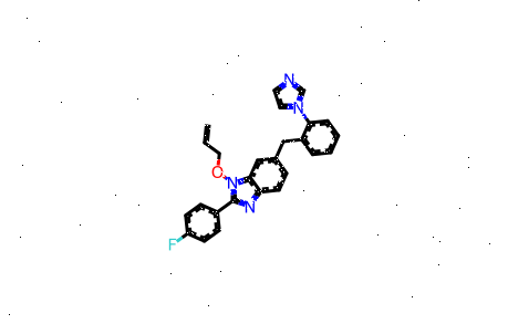 C=CCOn1c(-c2ccc(F)cc2)nc2ccc(Cc3ccccc3-n3ccnc3)cc21